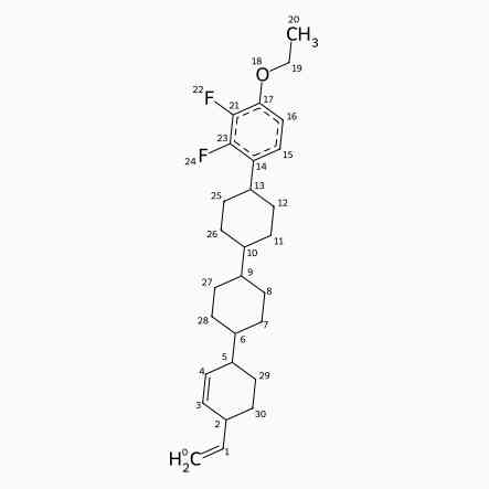 C=CC1C=CC(C2CCC(C3CCC(c4ccc(OCC)c(F)c4F)CC3)CC2)CC1